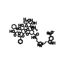 CC1CC(C(=O)NCCc2cn(CCc3c[nH]c4ccc([N+](=O)[O-])cc34)nn2)C[C@@H](O[C@@H]2OC(CO)[C@H](O)C(O[C@@H](CC3CCCCC3)C(=O)O)C2OC(=O)c2ccccc2)C1O[C@@H]1OC(C)[C@@H](O)C(O)C1O